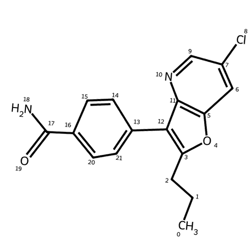 CCCc1oc2cc(Cl)cnc2c1-c1ccc(C(N)=O)cc1